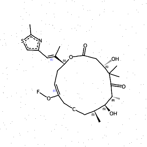 C/C(=C\c1csc(C)n1)[C@@H]1C/C=C(/OF)CCC[C@H](C)[C@H](O)[C@@H](C)C(=O)C(C)(C)[C@@H](O)CC(=O)O1